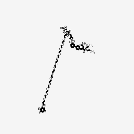 CCCN(CCC)C(=O)C1=Cc2ccc(-c3cccc(S(=O)(=O)N4CC(CNC(=O)[C@H](CS(=O)(=O)O)NC(=O)CCOCCOCCOCCOCCOCCOCCOCCOCCOCCOCCOCCOCCOCCC(=O)Oc5c(F)c(F)cc(F)c5F)C4)c3)cc2N=C(N)C1